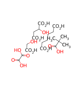 CC(C)(C)C(=O)O.O=C(O)C(=O)O.O=C(O)CC(O)C(=O)O.O=C(O)CCCCC(=O)O.O=C(O)CO